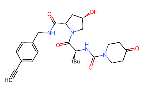 C#Cc1ccc(CNC(=O)[C@@H]2C[C@@H](O)CN2C(=O)[C@@H](NC(=O)N2CCC(=O)CC2)C(C)(C)C)cc1